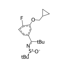 CC(C)(C)/C(=N\[S@@+]([O-])C(C)(C)C)c1ccc(F)c(OCC2CC2)c1